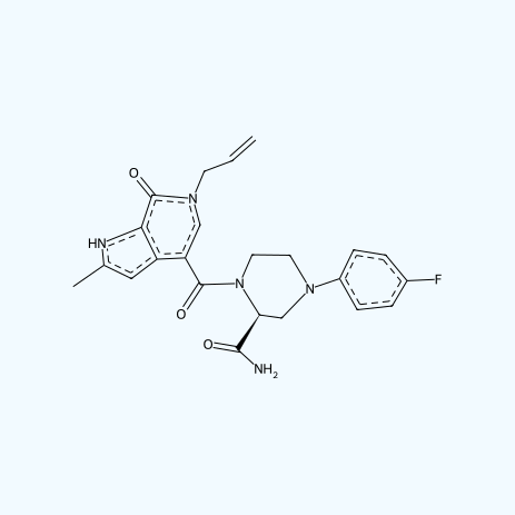 C=CCn1cc(C(=O)N2CCN(c3ccc(F)cc3)C[C@H]2C(N)=O)c2cc(C)[nH]c2c1=O